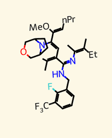 CCC/C=C(OC)/C(=C/C(=C(C)C)/C(=N\C(C)=C(\C)CC)NCc1cccc(C(F)(F)F)c1F)N1C2CCC1COC2